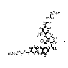 CCCCCCCCCCCCCCc1ccc(Sc2cccc3c2C(=O)c2c(Sc4ccc(CCCCCCCCCCCCCC)cc4N)cccc2C3=O)c(N)c1